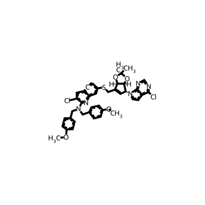 COc1ccc(CN(Cc2ccc(OC)cc2)c2nc3cc(SCC4=C[C@@H](n5ccc6c(Cl)ncnc65)[C@@H]5OC(C)(C)O[C@H]45)ccc3cc2Cl)cc1